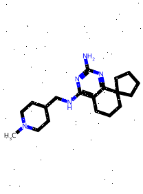 CN1CCC(CNc2nc(N)nc3c2CCCC32CCCC2)CC1